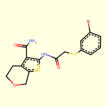 NC(=O)c1c(NC(=O)CSc2cccc(Br)c2)sc2c1CCOC2